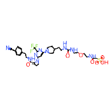 N#Cc1ccc(CCNC(=O)[C@@H]2CCN2c2cc(N3CCC(CCNC(=O)NCCOCCNC(=O)CS(=O)(=O)O)CC3)nc(C(F)(F)F)n2)cc1